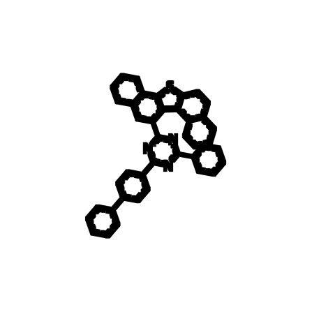 c1ccc(-c2ccc(-c3nc(-c4ccccc4)nc(-c4cc5ccccc5c5sc6ccc7ccccc7c6c45)n3)cc2)cc1